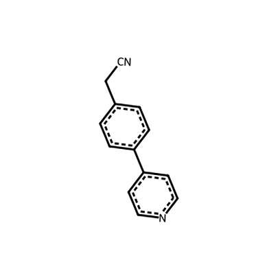 N#CCc1ccc(-c2ccncc2)cc1